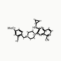 COc1ccc(CN2CCN(c3nc4c(C#N)nccc4nc3NC3CC3)CC2)c(F)c1